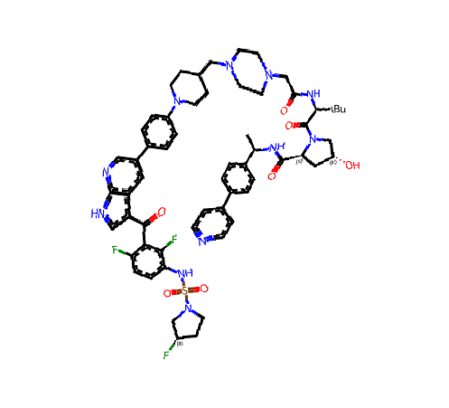 CC(NC(=O)[C@@H]1C[C@@H](O)CN1C(=O)C(NC(=O)CN1CCN(CC2CCN(c3ccc(-c4cnc5[nH]cc(C(=O)c6c(F)ccc(NS(=O)(=O)N7CC[C@@H](F)C7)c6F)c5c4)cc3)CC2)CC1)C(C)(C)C)c1ccc(-c2ccncc2)cc1